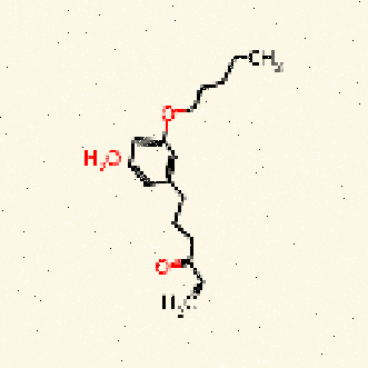 C=CC(=O)CCCc1cccc(OCCCCC)c1.O